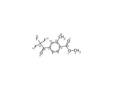 COC(=O)c1ccc(C(=O)C(F)(F)F)cc1C